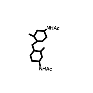 CC(=O)NC1CCC(CC2CCC(NC(C)=O)CC2C)C(C)C1